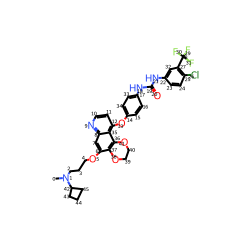 CN(CCCOc1cc2nccc(Oc3ccc(NC(=O)Nc4ccc(Cl)c(C(F)(F)F)c4)cc3)c2c2c1OCCO2)C1CCC1